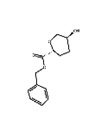 O=C(OCc1ccccc1)[C@H]1CC[C@H](O)CO1